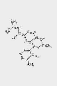 Cc1cccc(C2=CC(C)Oc3ccc(C(=O)N=C(N)N)cc32)c1F